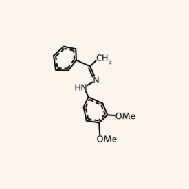 COc1ccc(NN=C(C)c2ccccc2)cc1OC